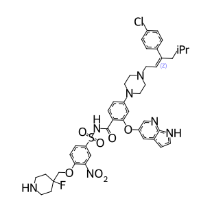 CC(C)C/C(=C/CN1CCN(c2ccc(C(=O)NS(=O)(=O)c3ccc(OCC4(F)CCNCC4)c([N+](=O)[O-])c3)c(Oc3cnc4[nH]ccc4c3)c2)CC1)c1ccc(Cl)cc1